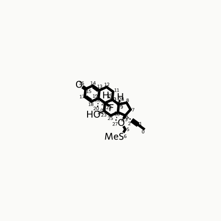 CC#C[C@@]1(OCSC)CC[C@H]2[C@@H]3CCC4=CC(=O)C=C[C@]4(C)C3(F)[C@@H](O)C[C@@]21C